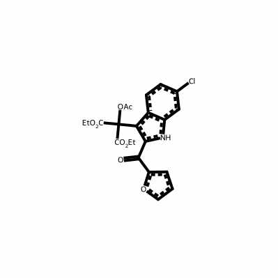 CCOC(=O)C(OC(C)=O)(C(=O)OCC)c1c(C(=O)c2ccco2)[nH]c2cc(Cl)ccc12